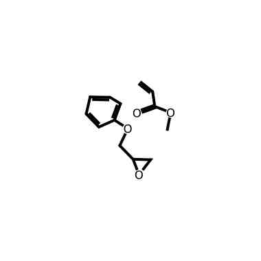 C=CC(=O)OC.c1ccc(OCC2CO2)cc1